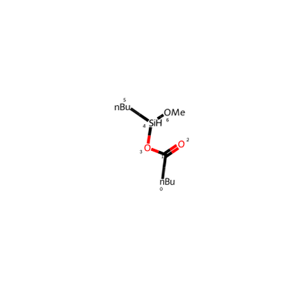 CCCCC(=O)O[SiH](CCCC)OC